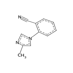 Cc1cn(-c2ccccc2C#N)cn1